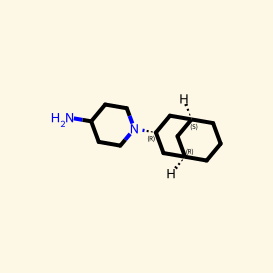 NC1CCN([C@H]2C[C@@H]3CCC[C@@H](C3)C2)CC1